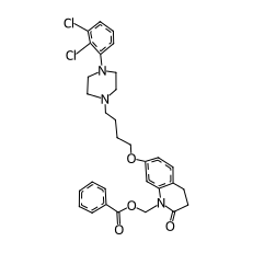 O=C(OCN1C(=O)CCc2ccc(OCCCCN3CCN(c4cccc(Cl)c4Cl)CC3)cc21)c1ccccc1